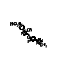 Cn1nnc(-c2ccc(OCc3cnn(C4CCN(C(=O)O)CC4)c3C#N)c(F)c2)n1